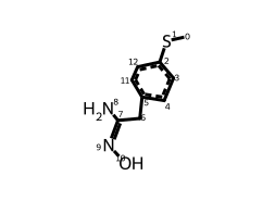 CSc1ccc(C/C(N)=N\O)cc1